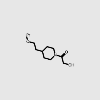 CC(C)OCCC1CCN(C(=O)CO)CC1